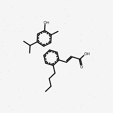 CCCCc1ccccc1/C=C/C(=O)O.Cc1ccc(C(C)C)cc1O